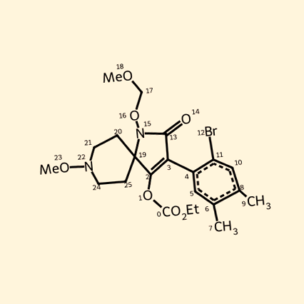 CCOC(=O)OC1=C(c2cc(C)c(C)cc2Br)C(=O)N(OCOC)C12CCN(OC)CC2